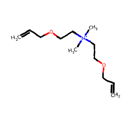 C=CCOCC[N+](C)(C)CCOCC=C